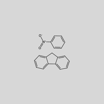 O=[N+]([O-])c1ccccc1.c1ccc2c(c1)Cc1ccccc1-2